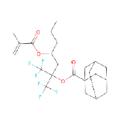 C=C(C)C(=O)OC(CCC)CC(OC(=O)C12CC3CC(CC(C3)C1)C2)(C(F)(F)F)C(F)(F)F